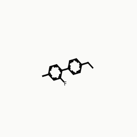 CCc1ccc(-c2ccc(C)cc2F)cc1